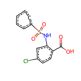 O=C(O)c1ccc(Cl)cc1NS(=O)(=O)c1ccccc1